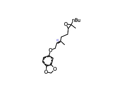 CCCCC1(C)OC1CC/C(C)=C/COc1ccc2c(c1)OCO2